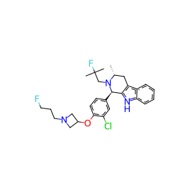 C[C@@H]1Cc2c([nH]c3ccccc23)[C@@H](c2ccc(OC3CN(CCCF)C3)c(Cl)c2)N1CC(C)(C)F